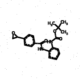 CC(C)(C)OC(=O)Nc1ccccc1NC(=O)c1ccc(C2CO2)cc1